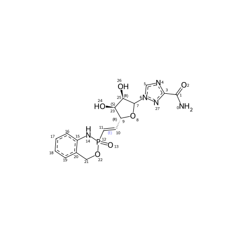 NC(=O)c1ncn(C2O[C@H](/C=C/P3(=O)Nc4ccccc4CO3)[C@@H](O)[C@H]2O)n1